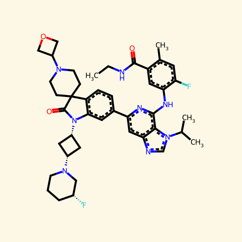 CCNC(=O)c1cc(Nc2nc(-c3ccc4c(c3)N([C@H]3C[C@@H](N5CCC[C@@H](F)C5)C3)C(=O)C43CCN(C4COC4)CC3)cc3ncn(C(C)C)c23)c(F)cc1C